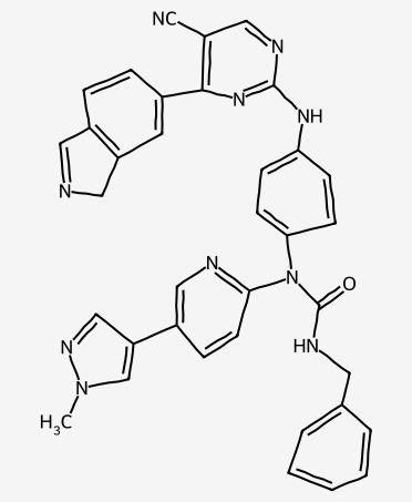 Cn1cc(-c2ccc(N(C(=O)NCc3ccccc3)c3ccc(Nc4ncc(C#N)c(-c5ccc6c(c5)CN=C6)n4)cc3)nc2)cn1